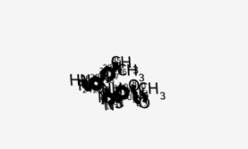 C[C@H]1COCCN1C(=O)[C@H]1CCc2c(sc3ncnc(Nc4cc5cn[nH]c5cc4N4CCC(N(C)C)CC4)c23)C1